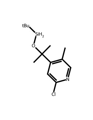 Cc1cnc(Cl)cc1C(C)(C)O[SiH2]C(C)(C)C